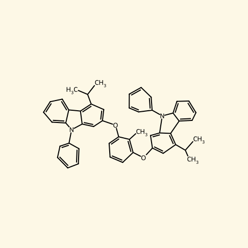 Cc1c(Oc2cc(C(C)C)c3c4ccccc4n(-c4ccccc4)c3c2)cccc1Oc1cc(C(C)C)c2c3ccccc3n(-c3ccccc3)c2c1